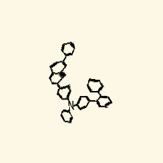 c1ccc(-c2ccc3ccc(-c4ccc(N(c5ccccc5)c5ccc(-c6ccccc6-c6ccccc6)cc5)cc4)cc3c2)cc1